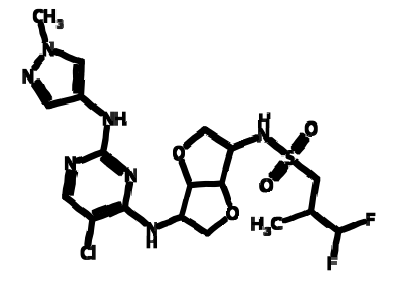 CC(CS(=O)(=O)NC1COC2C(Nc3nc(Nc4cnn(C)c4)ncc3Cl)COC12)C(F)F